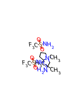 CC(C)(N)C[N+]1(C)CCCC1.NS(=O)(=O)C(F)(F)F.NS(=O)(=O)C(F)(F)F